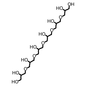 OCC(O)COCC(O)COCC(O)COCC(O)COCC(O)COCC(O)CO